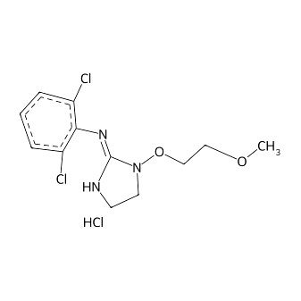 COCCON1CCN/C1=N\c1c(Cl)cccc1Cl.Cl